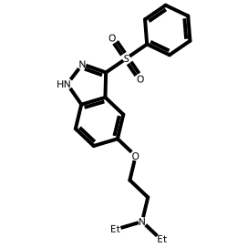 CCN(CC)CCOc1ccc2[nH]nc(S(=O)(=O)c3ccccc3)c2c1